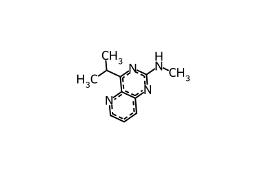 CNc1nc(C(C)C)c2ncccc2n1